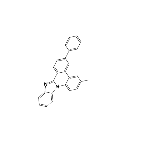 Cc1ccc2c(c1)c1cc(-c3ccccc3)ccc1c1nc3ccccc3n21